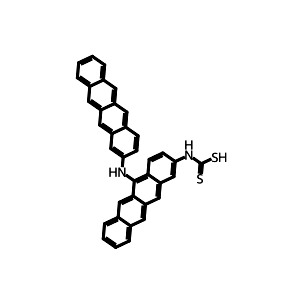 S=C(S)Nc1ccc2c(Nc3ccc4cc5cc6ccccc6cc5cc4c3)c3cc4ccccc4cc3cc2c1